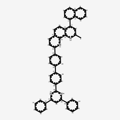 Cc1cc(-c2cccc3ccccc23)c2ccc3ccc(-c4ccc(-c5ccc(-c6nc(-c7ccccc7)cc(-c7ccccc7)n6)cc5)cc4)nc3c2n1